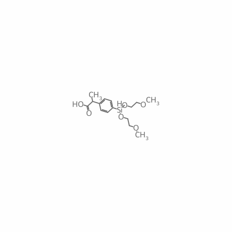 COCCO[SiH](OCCOC)c1ccc(C(C)C(=O)O)cc1